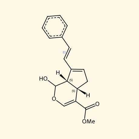 COC(=O)C1=COC(O)[C@@H]2C(/C=C/c3ccccc3)=CC[C@H]12